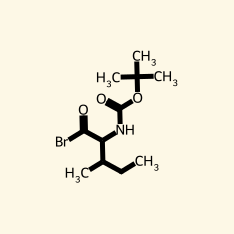 CCC(C)C(NC(=O)OC(C)(C)C)C(=O)Br